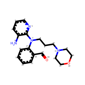 Nc1cccnc1N(CCCN1CCOCC1)c1ccccc1C=O